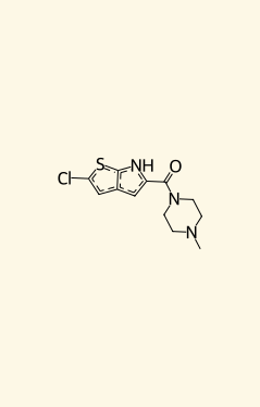 CN1CCN(C(=O)c2cc3cc(Cl)sc3[nH]2)CC1